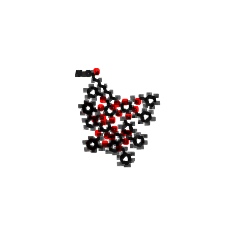 COC(=O)CCCCCCCCO[C@H]1O[C@H](COCc2ccccc2)[C@@H](OCc2ccccc2)[C@H](OCc2ccccc2)[C@@H]1O[C@H]1O[C@H](COCc2ccccc2)[C@@H](OCc2ccccc2)[C@H](OCc2ccccc2)[C@@H]1O[C@H]1O[C@H](COCc2ccccc2)[C@@H](OCc2ccccc2)[C@H](OCc2ccccc2)[C@@H]1O[C@H]1O[C@H](COCc2ccccc2)[C@@H](OCc2ccccc2)[C@H](OCc2ccccc2)[C@@H]1O